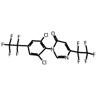 O=c1cc(C(F)(F)C(F)(F)F)ncn1-c1c(Cl)cc(C(F)(F)C(F)(F)F)cc1Cl